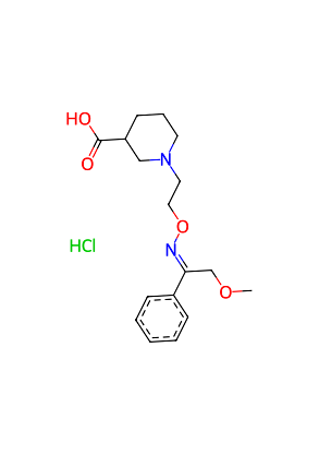 COCC(=NOCCN1CCCC(C(=O)O)C1)c1ccccc1.Cl